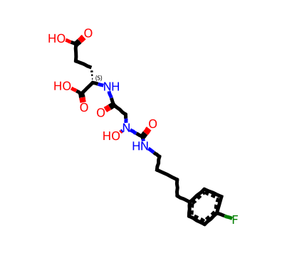 O=C(O)CC[C@H](NC(=O)CN(O)C(=O)NCCCCc1ccc(F)cc1)C(=O)O